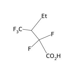 CCC(C(F)(F)F)C(F)(F)C(=O)O